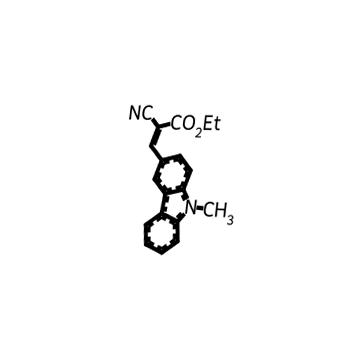 CCOC(=O)/C(C#N)=C\c1ccc2c(c1)c1ccccc1n2C